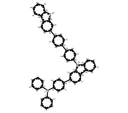 c1ccc(N(c2ccccc2)c2ccc(-c3ccc4c5ccccc5n(-c5ccc(-c6ccc(-c7ccc8c(c7)sc7ccccc78)cc6)cc5)c4c3)cc2)cc1